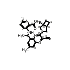 Cc1cc([C@@H](C)Nc2ccc(Cl)nc2C(=O)O)c2nc(N3CC4CC[C@@]4(F)C3)c(C#N)nc2c1